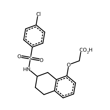 O=C(O)COc1cccc2c1CC(NS(=O)(=O)c1ccc(Cl)cc1)CC2